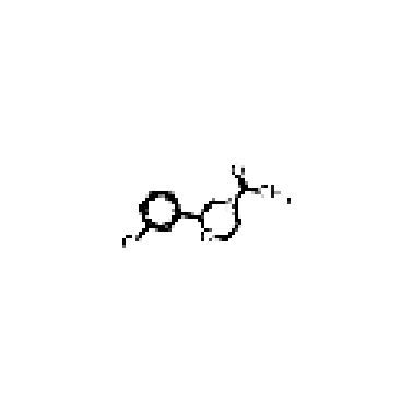 CC(=O)N1CCOC(c2cccc(Cl)c2)C1